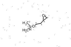 C[SiH](C)OCCC1CO1